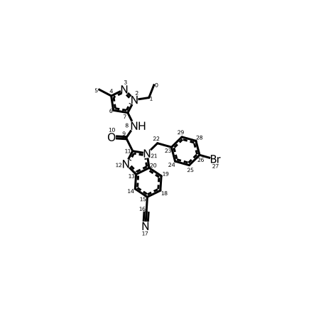 CCn1nc(C)cc1NC(=O)c1nc2cc(C#N)ccc2n1Cc1ccc(Br)cc1